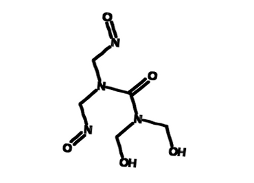 O=NCN(CN=O)C(=O)N(CO)CO